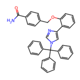 NC(=O)c1ccc(COc2ccccc2-c2cn(C(c3ccccc3)(c3ccccc3)c3ccccc3)cn2)cc1